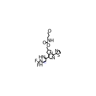 N=C(/C=C\NC(F)F)C1=C2CC(COC(=O)NCCC=O)CN2C(c2nccs2)=NC1